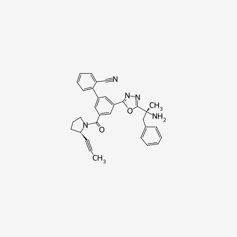 CC#C[C@H]1CCCN1C(=O)c1cc(-c2nnc([C@](C)(N)Cc3ccccc3)o2)cc(-c2ccccc2C#N)c1